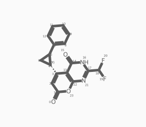 O=c1cc([C@@H]2CC2c2ccccc2)c2c(=O)[nH]c(C(F)F)nc2o1